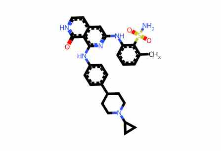 Cc1cccc(Nc2cc3cc[nH]c(=O)c3c(Nc3ccc(C4CCN(C5CC5)CC4)cc3)n2)c1S(N)(=O)=O